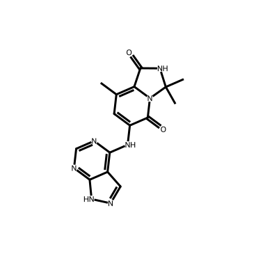 Cc1cc(Nc2ncnc3[nH]ncc23)c(=O)n2c1C(=O)NC2(C)C